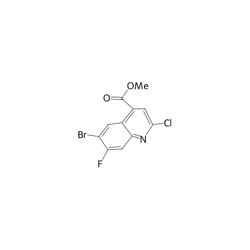 COC(=O)c1cc(Cl)nc2cc(F)c(Br)cc12